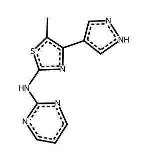 Cc1sc(Nc2ncccn2)nc1-c1cn[nH]c1